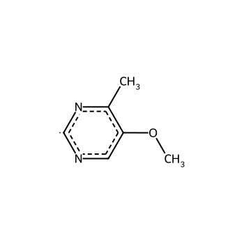 COc1cn[c]nc1C